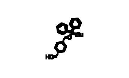 CC(C)(C)[Si](OC[C@H]1CC[C@@H](CO)CC1)(c1ccccc1)c1ccccc1